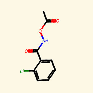 CC(=O)ONC(=O)c1ccccc1Cl